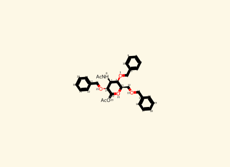 CC(=O)N[C@H]1[C@@H](OCc2ccccc2)[C@@H](COCc2ccccc2)OC(OC(C)=O)[C@@H]1OCc1ccccc1